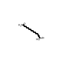 CCC[C@H](O)C#CCCCCCCCCCCCCC(N)=O